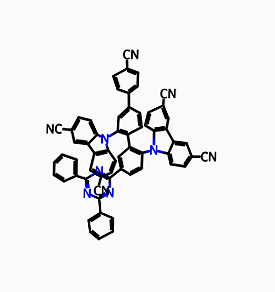 N#Cc1ccc(-c2ccc(-c3cc(-c4nc(-c5ccccc5)nc(-c5ccccc5)n4)ccc3-n3c4ccc(C#N)cc4c4cc(C#N)ccc43)c(-n3c4ccc(C#N)cc4c4cc(C#N)ccc43)c2)cc1